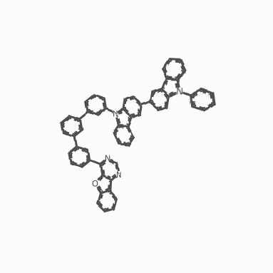 c1ccc(-n2c3ccccc3c3cc(-c4ccc5c(c4)c4ccccc4n5-c4cccc(-c5cccc(-c6cccc(-c7ncnc8c7oc7ccccc78)c6)c5)c4)ccc32)cc1